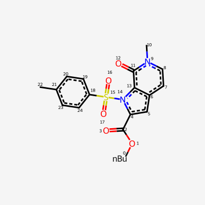 CCCCOC(=O)c1cc2ccn(C)c(=O)c2n1S(=O)(=O)c1ccc(C)cc1